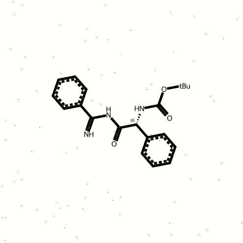 CC(C)(C)OC(=O)N[C@@H](C(=O)NC(=N)c1ccccc1)c1ccccc1